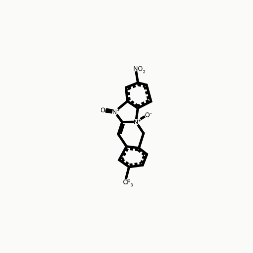 O=[N+]([O-])c1ccc2c(c1)[N+](=O)C1=Cc3cc(C(F)(F)F)ccc3C[N+]12[O-]